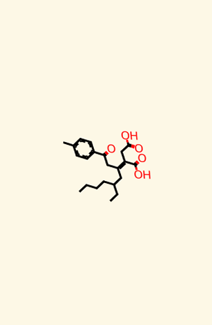 CCCCC(CC)CC(CC(=O)c1ccc(C)cc1)=C(CC(=O)O)C(=O)O